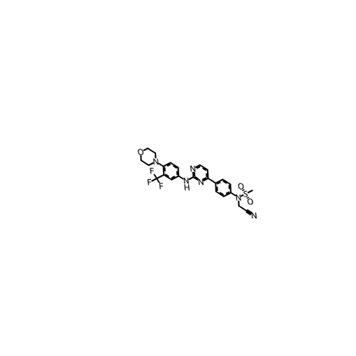 CS(=O)(=O)N(CC#N)c1ccc(-c2ccnc(Nc3ccc(N4CCOCC4)c(C(F)(F)F)c3)n2)cc1